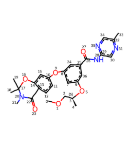 COC[C@H](C)Oc1cc(Oc2ccc3c(c2)OC(C)(C)N(C)C3=O)cc(C(=O)Nc2cnc(C)cn2)c1